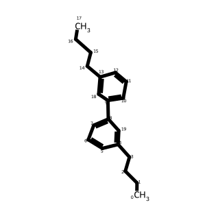 CCCCc1cccc(-c2cccc(CCCC)c2)c1